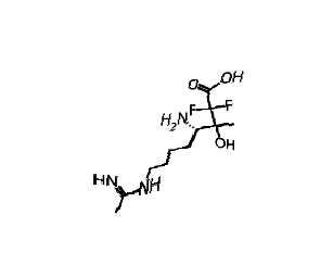 CC(=N)NCCCC[C@H](N)C(C)(O)C(F)(F)C(=O)O